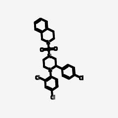 O=S(=O)(N1CCc2ccccc2C1)N1CCN(c2ccc(Cl)cc2Cl)C(c2ccc(Cl)cc2)C1